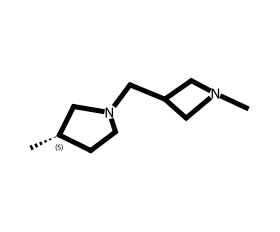 C[C@H]1CCN(CC2CN(C)C2)C1